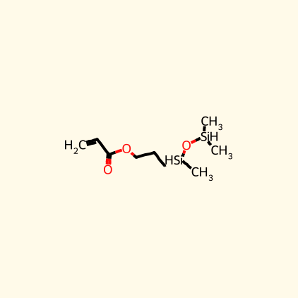 C=CC(=O)OCCC[SiH](C)O[SiH](C)C